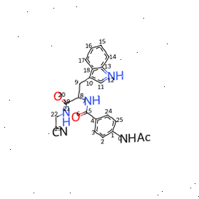 CC(=O)Nc1ccc(C(=O)NC(Cc2c[nH]c3ccccc23)C(=O)NCC#N)cc1